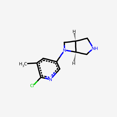 Cc1cc(N2C[C@H]3CNC[C@H]32)cnc1Cl